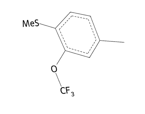 CSc1ccc(C)cc1OC(F)(F)F